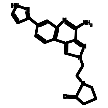 Nc1nc2cc(-c3cc[nH]n3)ccc2c2cn(CCN3CCCC3=O)nc12